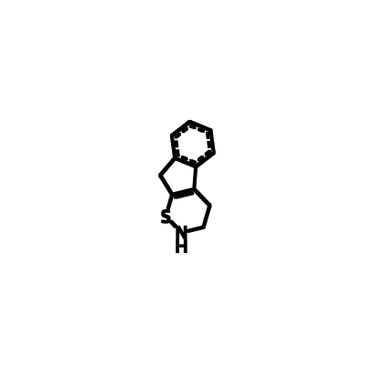 c1ccc2c(c1)CC1=C2CCNS1